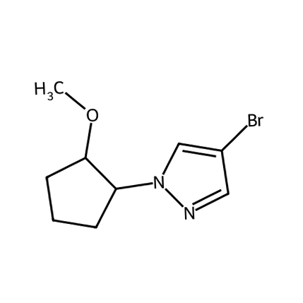 COC1CCCC1n1cc(Br)cn1